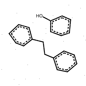 Oc1ccccc1.c1ccc(CCc2ccccc2)cc1